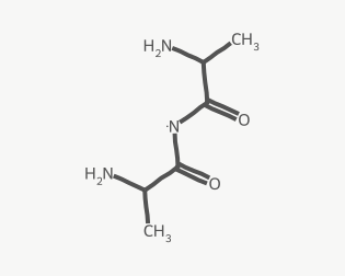 CC(N)C(=O)[N]C(=O)C(C)N